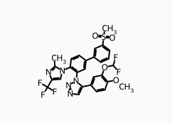 COc1ccc(-c2cnnn2-c2cc(-c3cccc(S(C)(=O)=O)c3)ccc2-n2cc(C(F)(F)F)nc2C)cc1OC(F)F